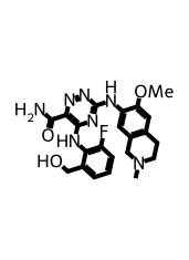 COc1cc2c(cc1Nc1nnc(C(N)=O)c(Nc3c(F)cccc3CO)n1)CN(C)CC2